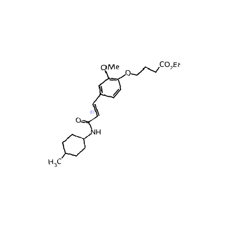 CCOC(=O)CCCOc1ccc(/C=C/C(=O)NC2CCC(C)CC2)cc1OC